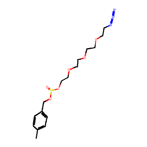 Cc1ccc(COS(=O)OCCOCCOCCOCCN=[N+]=[N-])cc1